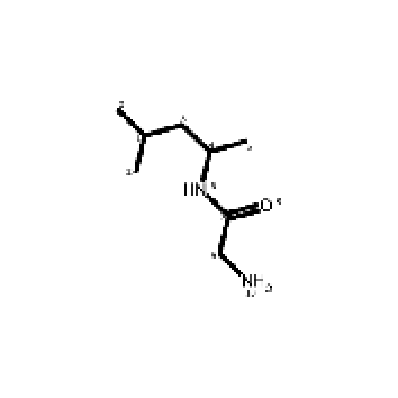 CC(C)CC(C)NC(=O)CN